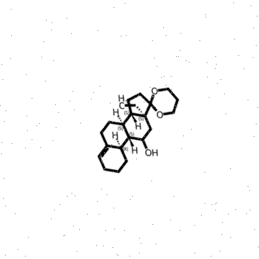 CC[C@]12CC(O)[C@H]3[C@@H](CCC4=CCCC[C@@H]43)[C@@H]1CCC21OCCCO1